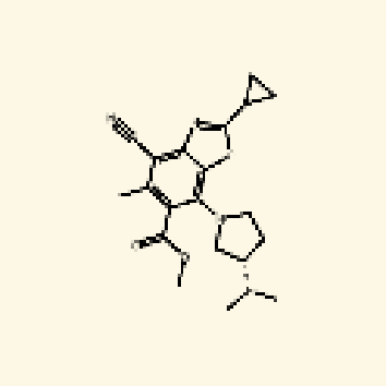 COC(=O)c1c(C)c(C#N)c2nc(C3CC3)oc2c1N1CC[C@H](N(C)C)C1